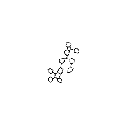 c1ccc(-c2cccc(N(c3cccc(-c4ccc5c(c4)c(-c4ccccc4)c(-c4ccccc4)c4ccccc45)c3)c3ccc4c5ccccc5n(-c5ccccc5)c4c3)c2)cc1